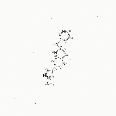 Cn1cc(-c2cnc3ccc(Nc4cccnc4)nc3c2)cn1